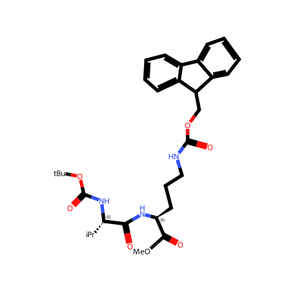 COC(=O)[C@H](CCCNC(=O)OCC1c2ccccc2-c2ccccc21)NC(=O)[C@@H](NC(=O)OC(C)(C)C)C(C)C